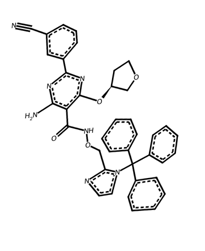 N#Cc1cccc(-c2nc(N)c(C(=O)NOCc3nccn3C(c3ccccc3)(c3ccccc3)c3ccccc3)c(O[C@H]3CCOC3)n2)c1